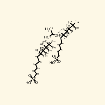 CC(O)O.O=S(=O)(O)CCCCCCC(F)(F)C(F)(F)C(F)(F)C(F)(F)F.O=S(=O)(O)CCCCCCC(F)(F)C(F)(F)C(F)(F)C(F)(F)F